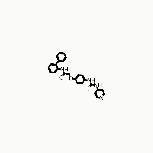 O=C(COc1ccc(NC(=O)Nc2ccncc2)cc1)Nc1ccccc1-c1ccccc1